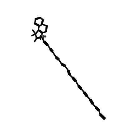 C#CC#CC#CC#CC#CC#CC#CC#CC#CC#CC#C[N+]1=C(C)C(C)(C)c2c1ccc1ccccc21